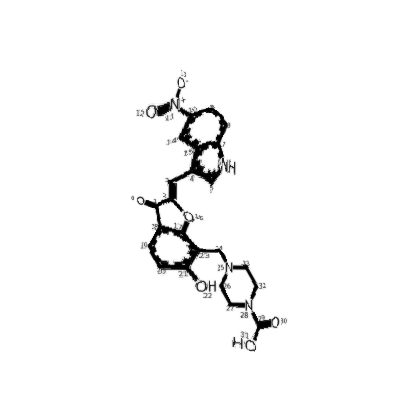 O=C1C(=Cc2c[nH]c3ccc([N+](=O)[O-])cc23)Oc2c1ccc(O)c2CN1CCN(C(=O)O)CC1